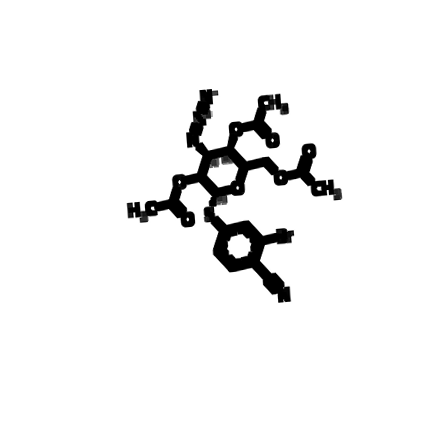 CC(=O)OCC1O[C@H](Sc2ccc(C#N)c(Br)c2)C(OC(C)=O)[C@@H](N=[N+]=[N-])[C@H]1OC(C)=O